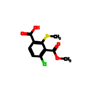 COC(=O)c1c(Cl)ccc(C(=O)O)c1SC